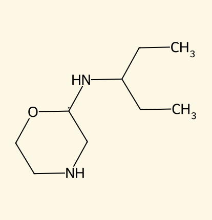 CCC(CC)N[C]1CNCCO1